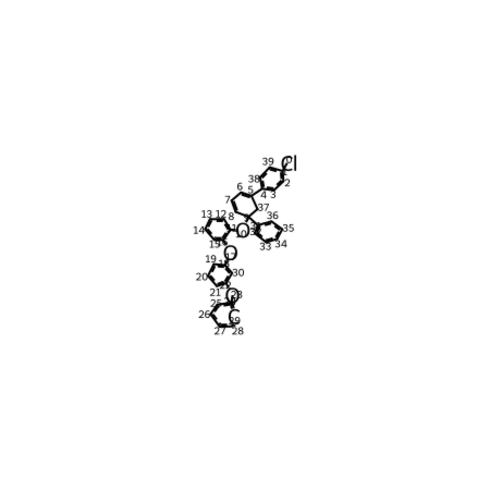 Clc1ccc(C2=CC=CC(Oc3ccccc3Oc3cccc(Oc4ccccc4)c3)(c3ccccc3)C2)cc1